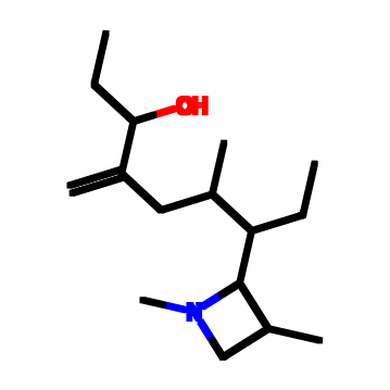 C=C(CC(C)C(CC)C1C(C)CN1C)C(O)CC